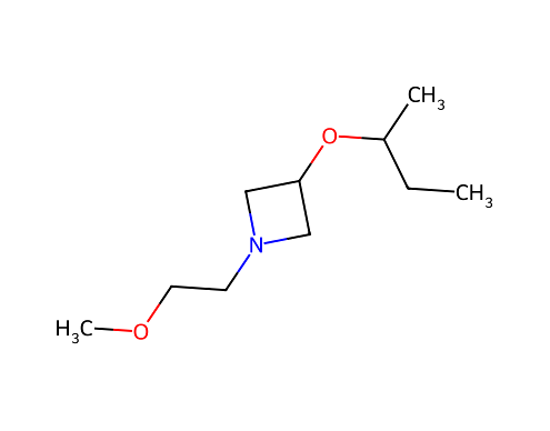 CCC(C)OC1CN(CCOC)C1